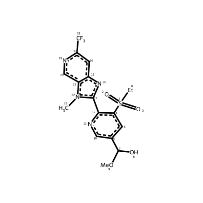 CCS(=O)(=O)c1cc(C(O)OC)cnc1-c1nc2cc(C(F)(F)F)ncc2n1C